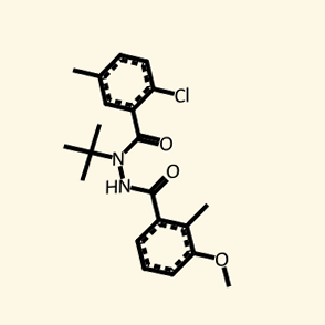 COc1cccc(C(=O)NN(C(=O)c2cc(C)ccc2Cl)C(C)(C)C)c1C